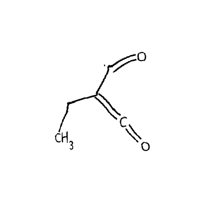 CCC([C]=O)=C=O